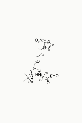 CC(=O)C(C)(C)NCC(COCCCn1ccnc1[N+](=O)[O-])ONC(C)(C)C(=O)C=O